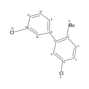 CCC(C)c1ccc(Cl)cc1-c1cccc(Cl)c1